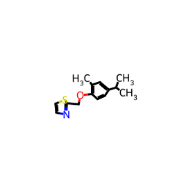 Cc1cc(C(C)C)ccc1OCc1nccs1